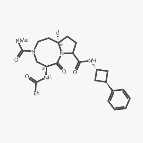 CCC(=O)N[C@H]1CN(C(=O)NC)CC[C@H]2CCC(C(=O)N[C@H]3C[C@H](c4ccccc4)C3)N2C1=O